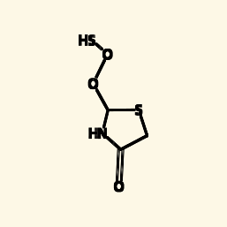 O=C1CSC(OOS)N1